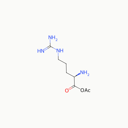 CC(=O)OC(=O)[C@H](N)CCCNC(=N)N